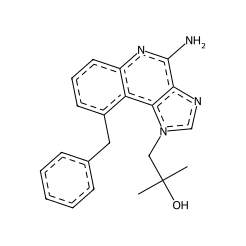 CC(C)(O)Cn1cnc2c(N)nc3cccc(Cc4ccccc4)c3c21